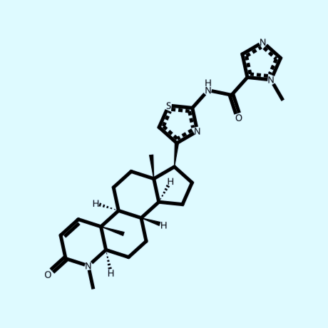 CN1C(=O)C=C[C@]2(C)[C@H]3CC[C@]4(C)[C@@H](c5csc(NC(=O)c6cncn6C)n5)CC[C@H]4[C@@H]3CC[C@@H]12